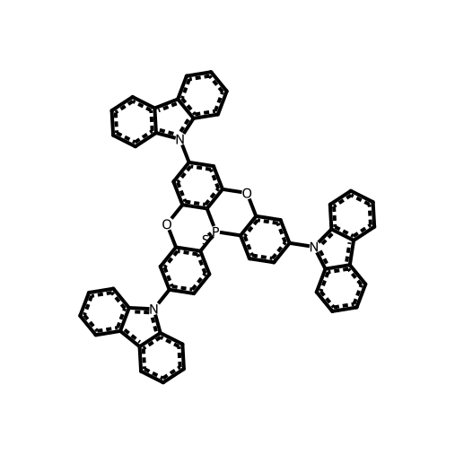 S=P12c3ccc(-n4c5ccccc5c5ccccc54)cc3Oc3cc(-n4c5ccccc5c5ccccc54)cc(c31)Oc1cc(-n3c4ccccc4c4ccccc43)ccc12